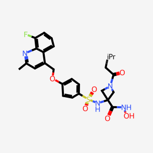 Cc1cc(COc2ccc(S(=O)(=O)NC3(C(=O)NO)CN(C(=O)CC(C)C)C3)cc2)c2cccc(F)c2n1